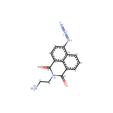 [N-]=[N+]=Nc1ccc2c3c(cccc13)C(=O)N(CCN)C2=O